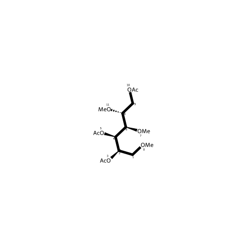 COC[C@@H](OC(C)=O)[C@@H](OC(C)=O)[C@H](OC)[C@@H](COC(C)=O)OC